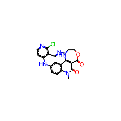 CN=Cc1c(Nc2ccc(N(C)C)c(C3=C(C=O)C(=O)OCCN3)c2)ccnc1Cl